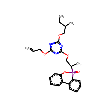 C=CCOc1nc(OCC(C)CC)nc(OCC(C)P2(=O)Oc3ccccc3-c3ccccc32)n1